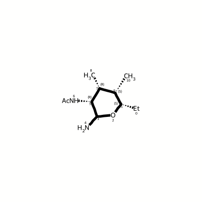 CC[C@@H]1OC(N)[C@H](NC(C)=O)[C@H](C)[C@@H]1C